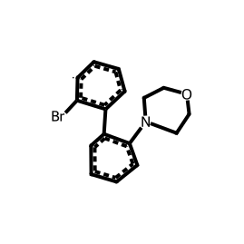 Brc1[c]cccc1-c1ccccc1N1CCOCC1